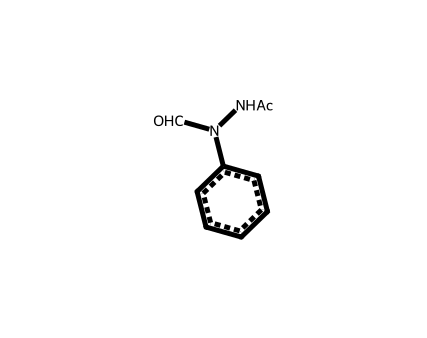 CC(=O)NN(C=O)c1ccccc1